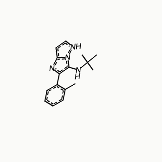 Cc1ccccc1-c1nc2cc[nH]n2c1NC(C)(C)C